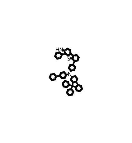 c1ccc(-c2ccc(N(c3ccc(-c4cccc5c4sc4c5ccc5[nH]c6ccccc6c54)cc3)c3ccc4c(c3)C(c3ccccc3)(c3ccccc3)c3ccccc3-4)cc2)cc1